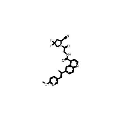 COc1ccc(C=C(C)c2ccc3nccc(C(=O)NCC(=O)N4CC(F)(F)CC4C#N)c3c2)cn1